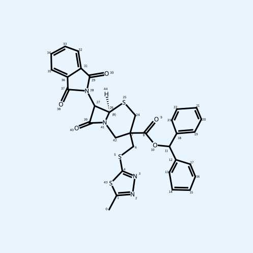 Cc1nnc(SCC2(C(=O)OC(c3ccccc3)c3ccccc3)CS[C@@H]3C(N4C(=O)c5ccccc5C4=O)C(=O)N3C2)s1